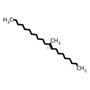 CCCCCCCC/C=C(\C)CCCCCCCCCCC